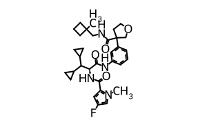 Cn1cc(F)cc1C(=O)N[C@H](C(=O)Nc1cccc(C2(C(=O)NCC3(C)CCC3)CCOC2)c1)C(C1CC1)C1CC1